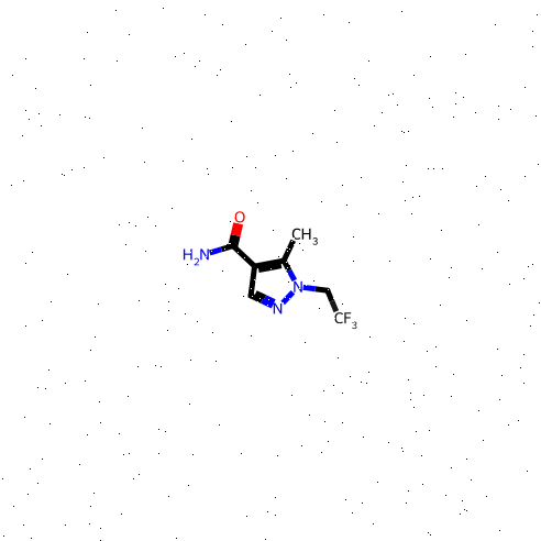 Cc1c(C(N)=O)cnn1CC(F)(F)F